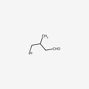 CC(C)CC(C)CC=O